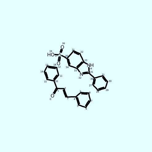 O=C(C=Cc1ccccc1)c1ccccc1.O=S(=O)(O)c1ccc2[nH]c(-c3ccccc3)nc2c1